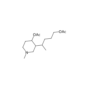 CC(=O)OCCCC(C)C1CN(C)CCC1OC(C)=O